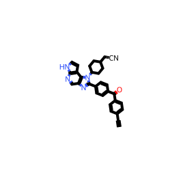 C#Cc1ccc(C(=O)c2ccc(-c3nc4cnc5[nH]ccc5c4n3C3CCC(CC#N)CC3)cc2)cc1